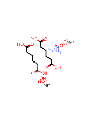 N.N.O.O.O=C(O)CCCCC(=O)O.O=C(O)CCCCC(=O)O.[Na+].[Na+].[OH-].[OH-]